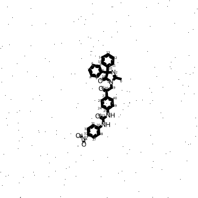 CC1=NC(c2ccccc2)(c2ccccc2)C(=O)N1CC(=O)c1ccc(NC(=O)Nc2ccc([N+](=O)[O-])cc2)cc1